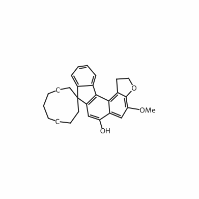 COc1cc2c(O)cc3c(c2c2c1OCC2)-c1ccccc1C31CCCCCCCC1